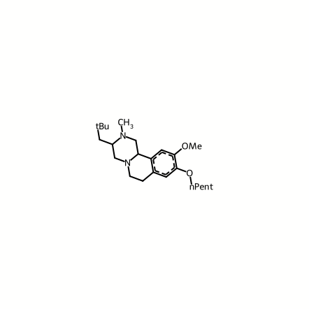 CCCCCOc1cc2c(cc1OC)C1CN(C)C(CC(C)(C)C)CN1CC2